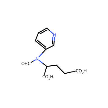 O=CN(c1cccnc1)C(CCC(=O)O)C(=O)O